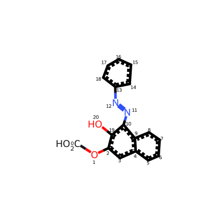 O=C(O)Oc1cc2ccccc2c(N=Nc2ccccc2)c1O